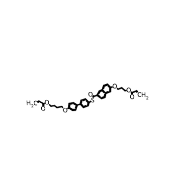 C=CC(=O)OCCCCOc1ccc(-c2ccc(SC(=O)c3ccc4cc(OCCCOC(=O)C=C)ccc4c3)cc2)cc1